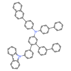 c1ccc(-c2ccc(N(c3ccc(-c4ccc5ccccc5c4)cc3)c3ccc(-c4cccc(-n5c6ccccc6c6ccccc65)c4)c(-c4cccc(-c5ccccc5)c4)c3)cc2)cc1